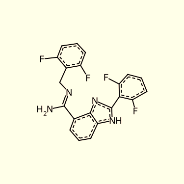 NC(=NCc1c(F)cccc1F)c1cccc2[nH]c(-c3c(F)cccc3F)nc12